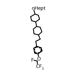 CCCCCCCC1CCC(C2CCC(CCc3ccc(OC(F)C(F)(F)F)cc3)CC2)CC1